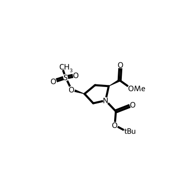 COC(=O)[C@@H]1C[C@H](OS(C)(=O)=O)CN1C(=O)OC(C)(C)C